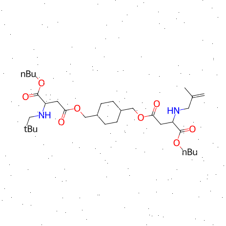 C=C(C)CNC(CC(=O)OCC1CCC(COC(=O)CC(NCC(C)(C)C)C(=O)OCCCC)CC1)C(=O)OCCCC